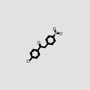 O=C(Cc1ccc([N+](=O)[O-])cc1)c1ccc(Cl)cc1